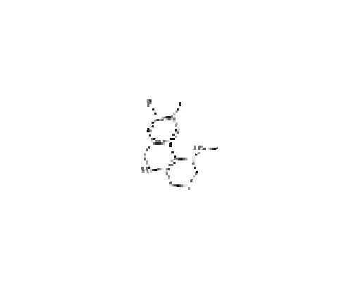 CNC1CSCC2=C1c1cc(F)c(F)cc1[C@@H](C)N2